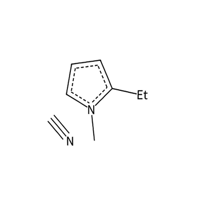 C#N.CCc1cccn1C